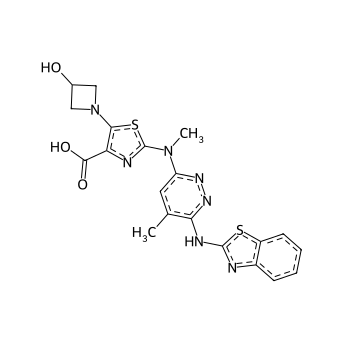 Cc1cc(N(C)c2nc(C(=O)O)c(N3CC(O)C3)s2)nnc1Nc1nc2ccccc2s1